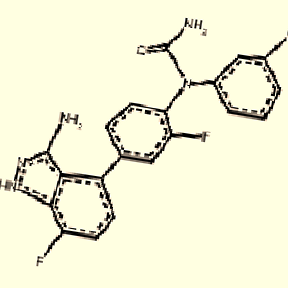 NC(=O)N(c1cccc(Cl)c1)c1ccc(-c2ccc(F)c3[nH]nc(N)c23)cc1F